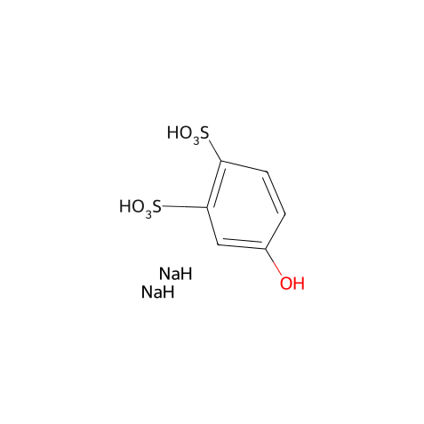 O=S(=O)(O)c1ccc(O)cc1S(=O)(=O)O.[NaH].[NaH]